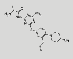 C=CCc1cc(Sc2nc(N)nc(NC(=O)C(C)N)n2)ccc1N1CCC(O)CC1